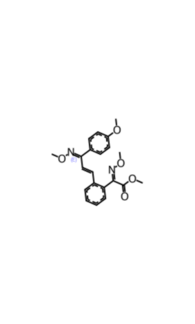 CON=C(C(=O)OC)c1ccccc1C=C/C(=N\OC)c1ccc(OC)cc1